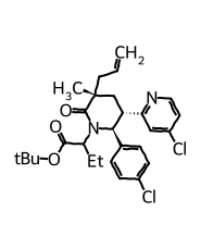 C=CC[C@]1(C)C[C@H](c2cc(Cl)ccn2)[C@@H](c2ccc(Cl)cc2)N(C(CC)C(=O)OC(C)(C)C)C1=O